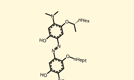 CCCCCCCOc1cc([N+](=O)[O-])c(O)cc1N=Nc1cc(O[C@@H](C)CCCCCC)c(N(C)C)cc1O